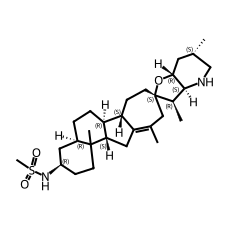 CC1=C2C[C@H]3[C@@H](CC[C@@H]4C[C@H](NS(C)(=O)=O)CCC43C)[C@@H]2CC[C@@]2(C1)O[C@@H]1C[C@H](C)CN[C@H]1[C@H]2C